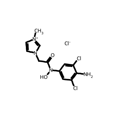 C[n+]1ccn(CC(=O)N(O)c2cc(Cl)c(N)c(Cl)c2)c1.[Cl-]